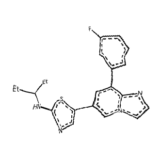 CCC(CC)Nc1ncc(-c2cc(-c3cccc(F)c3)c3nccn3c2)s1